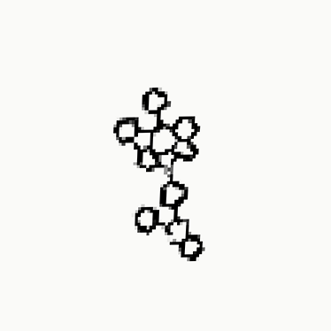 C1=CC2=CC=C3C4c5c(ccc6c5C(=C(c5ccccc5)C(=C1)C24)c1ccccc1-6)N3c1ccc(-c2nc3ccccc3nc2-c2ccccc2)cc1